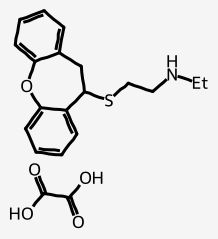 CCNCCSC1Cc2ccccc2Oc2ccccc21.O=C(O)C(=O)O